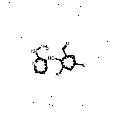 NNc1ccccn1.O=Cc1cc(Br)cc(Br)c1O